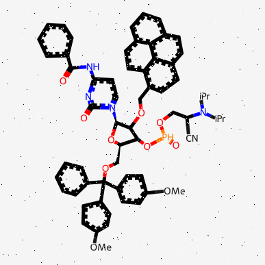 COc1ccc(C(OC[C@H]2O[C@@H](n3ccc(NC(=O)c4ccccc4)nc3=O)C(OCc3ccc4ccc5cccc6ccc3c4c56)C2O[PH](=O)OCC(C#N)N(C(C)C)C(C)C)(c2ccccc2)c2ccc(OC)cc2)cc1